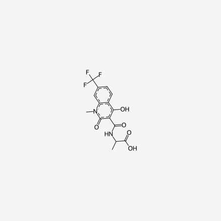 CC(NC(=O)c1c(O)c2ccc(C(F)(F)F)cc2n(C)c1=O)C(=O)O